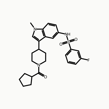 Cn1cc(C2CCN(C(=O)C3CCCC3)CC2)c2cc(NS(=O)(=O)c3cccc(F)c3)ccc21